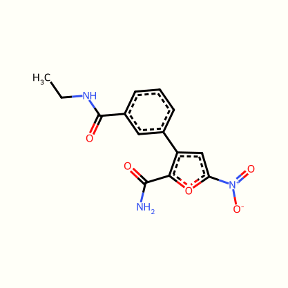 CCNC(=O)c1cccc(-c2cc([N+](=O)[O-])oc2C(N)=O)c1